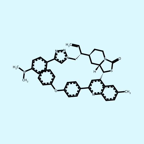 C=C[C@@H](Cn1cc(-c2ccc(N(C)C)cc2)nn1)[C@H]1CCN2C(=O)S[C@H](c3cc(-c4ccc(Oc5ccccc5)cc4)nc4ccc(C)cc34)[C@@H]2C1